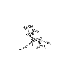 C#CCOCCOCCOCCNc1nc(N2CCN(C(=O)[C@H](CCCCN)n3cc([C@@H](N)CC(C)C)nn3)CC2)nc(N2CCN(C(=O)[C@H](CCCCN)n3cc([C@@H](N)CC(C)C)nn3)CC2)n1.Cl